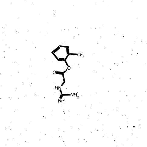 N=C(N)NCC(=O)Oc1ccccc1C(F)(F)F